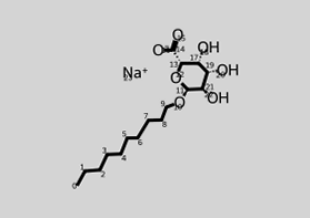 CCCCCCCCCCO[C@H]1O[C@H](C(=O)[O-])[C@H](O)[C@H](O)[C@H]1O.[Na+]